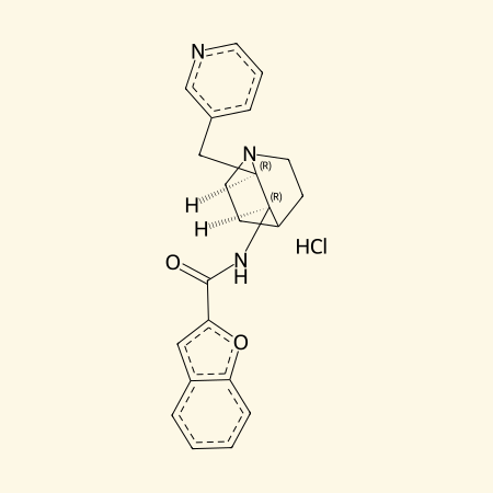 Cl.O=C(N[C@@H]1C2CCN(CC2)[C@@H]1Cc1cccnc1)c1cc2ccccc2o1